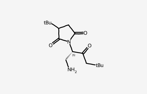 CC(C)(C)CC(=O)[C@H](CN)N1C(=O)CC(C(C)(C)C)C1=O